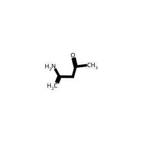 C=C(N)CC(C)=O